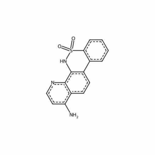 Nc1ccnc2c3c(ccc12)-c1ccccc1S(=O)(=O)N3